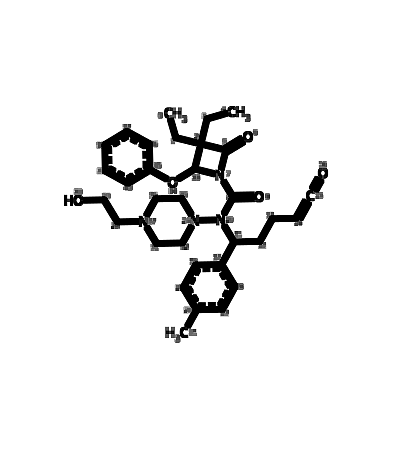 CCC1(CC)C(=O)N(C(=O)N(C(CCC=C=O)c2ccc(C)cc2)N2CCN(CCO)CC2)C1Oc1ccccc1